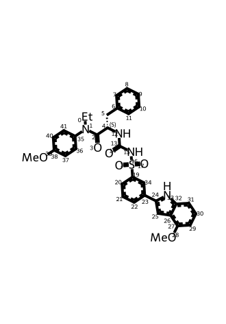 CCN(C(=O)[C@H](Cc1ccccc1)NC(=O)NS(=O)(=O)c1cccc(-c2cc3c(OC)cccc3[nH]2)c1)c1ccc(OC)cc1